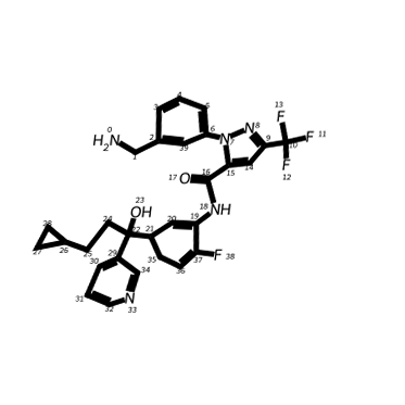 NCc1cccc(-n2nc(C(F)(F)F)cc2C(=O)NC2=CC(C(O)(CCC3CC3)c3cccnc3)CC=C2F)c1